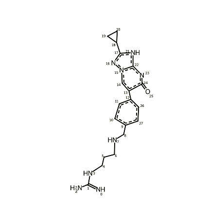 N=C(N)NCCCNCc1ccc(-c2cn3nc(C4CC4)[nH]c3nc2=O)cc1